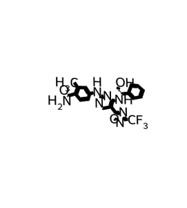 Cc1cc(Nc2ncc(-c3nc(C(F)(F)F)no3)c(N[C@H](CO)c3ccccc3)n2)ccc1C(N)=O